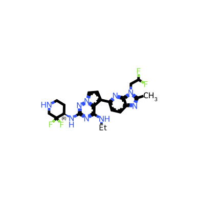 CCNc1nc(N[C@@H]2CCNCC2(F)F)nn2ccc(-c3ccc4nc(C)n(CC(F)F)c4n3)c12